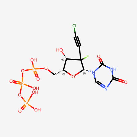 O=c1ncn([C@@H]2O[C@H](COP(=O)(O)OP(=O)(O)OP(=O)(O)O)[C@H](O)C2(F)C#CCl)c(=O)[nH]1